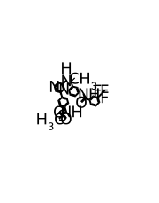 C[C@H](Nc1cncc(-c2ccc(NS(C)(=O)=O)cc2)n1)c1cccc(NC(=O)c2cccc(C(F)(F)F)c2)c1